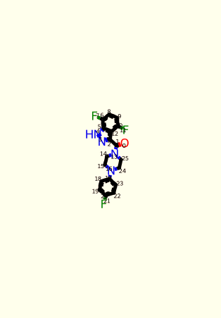 O=C(c1n[nH]c2c(F)ccc(F)c12)N1CCN(c2ccc(F)cc2)CC1